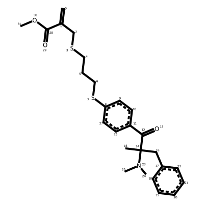 C=C(CSCCCSc1ccc(C(=O)C(C)(Cc2ccccc2)N(C)C)cc1)C(=O)OC